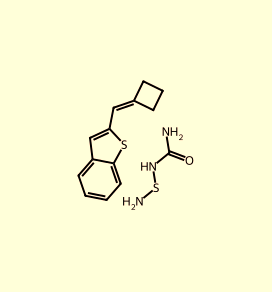 C(=C1CCC1)c1cc2ccccc2s1.NSNC(N)=O